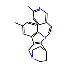 Cc1ccc2c(c1)c1c(n2/C=C\c2ccc(C)nc2)C2CCN(CC2)C1